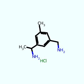 Cc1cc(CN)cc(C(C)N)c1.Cl